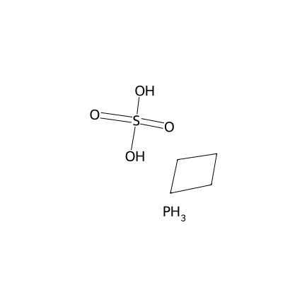 C1CCC1.O=S(=O)(O)O.P